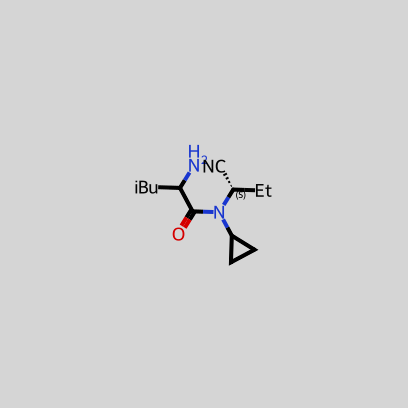 CCC(C)C(N)C(=O)N(C1CC1)[C@H](C#N)CC